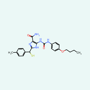 CCCCOc1ccc(NC(=O)Nc2[nH]c(C(S)c3ccc(C)cc3)nc2C(N)=O)cc1